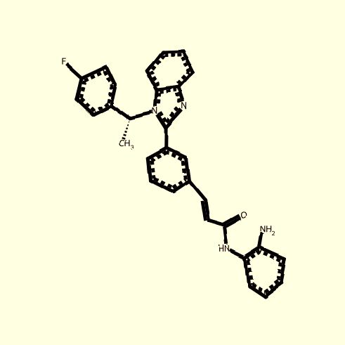 C[C@H](c1ccc(F)cc1)n1c(-c2cccc(/C=C/C(=O)Nc3ccccc3N)c2)nc2ccccc21